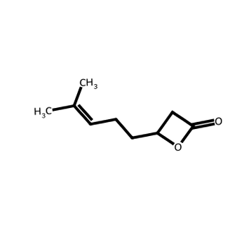 CC(C)=CCCC1CC(=O)O1